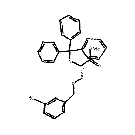 COC(=O)[C@H](COCc1cccc(C#N)c1)NC(c1ccccc1)(c1ccccc1)c1ccccc1